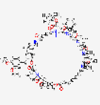 COc1ccc(CC[C@H]2OC(=O)[C@@H]3CCCCN3C(=O)C(=O)C(C)(C)COC(=O)/C=C/CCCCN(C)C(=O)[C@H](CC(C)C)N(C)C(=O)[C@H]3CCCN3C(=O)[C@H](Cc3ccccc3)N(C)C(=O)[C@H](CC(=O)OC(C)(C)C)NC(=O)CCC(=O)Nc3cccc2c3)cc1OC